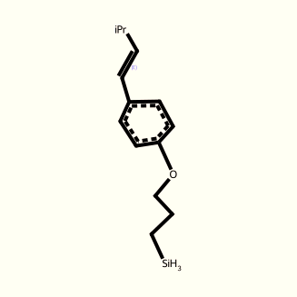 CC(C)/C=C/c1ccc(OCCC[SiH3])cc1